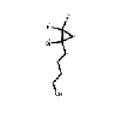 OCCCCC1(Br)CC1(Br)Br